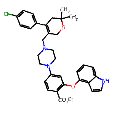 CCOC(=O)c1ccc(N2CCN(CC3=C(c4ccc(Cl)cc4)CC(C)(C)OC3)CC2)cc1Oc1cccc2[nH]ccc12